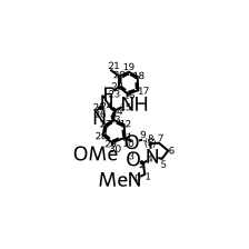 CNCC(=O)N1CCC[C@H]1COc1cc2c(Nc3cccc(C)c3F)ncnc2cc1OC